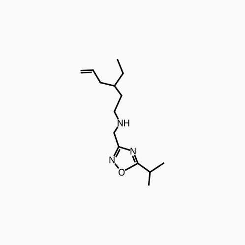 C=CCC(CC)CCNCc1noc(C(C)C)n1